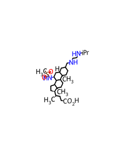 CC(C)NCCNCC1CC[C@]2(C)C3CC[C@@]4(C)C(CC[C@@H]4[C@H](C)CCC(=O)O)C3[C@@H](NS(C)(=O)=O)C[C@H]2C1